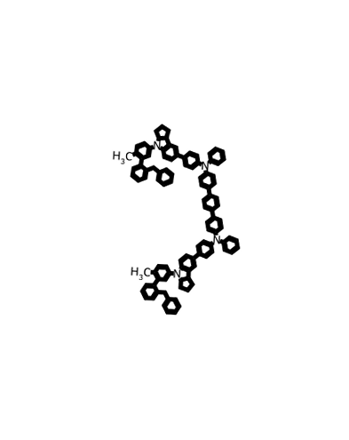 Cc1ccc(N2c3ccc(-c4ccc(N(c5ccccc5)c5ccc(-c6ccc(-c7ccc(N(c8ccccc8)c8ccc(-c9ccc%10c(c9)C9CCCC9N%10c9ccc(C)c(-c%10ccccc%10Cc%10ccccc%10)c9)cc8)cc7)cc6)cc5)cc4)cc3C3CCCC32)cc1-c1ccccc1Cc1ccccc1